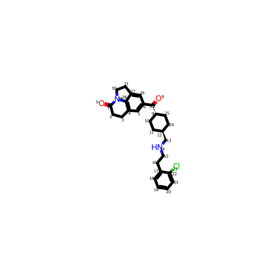 O=C1CCc2cc(C(=O)[C@H]3CC[C@H](CNCCc4ccccc4Cl)CC3)cc3c2N1CC3